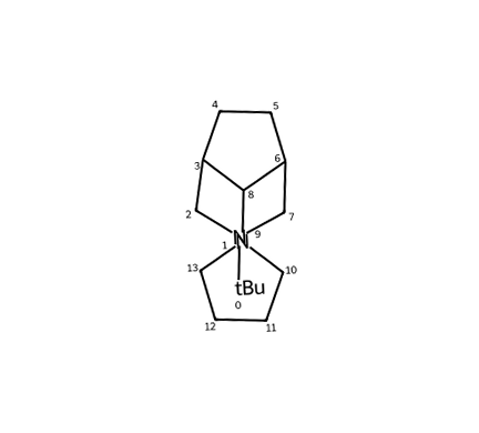 CC(C)(C)N1CC2CCC(C1)C2N1CCCC1